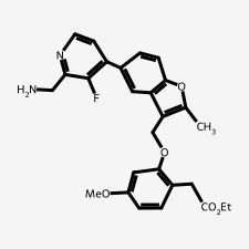 CCOC(=O)Cc1ccc(OC)cc1OCc1c(C)oc2ccc(-c3ccnc(CN)c3F)cc12